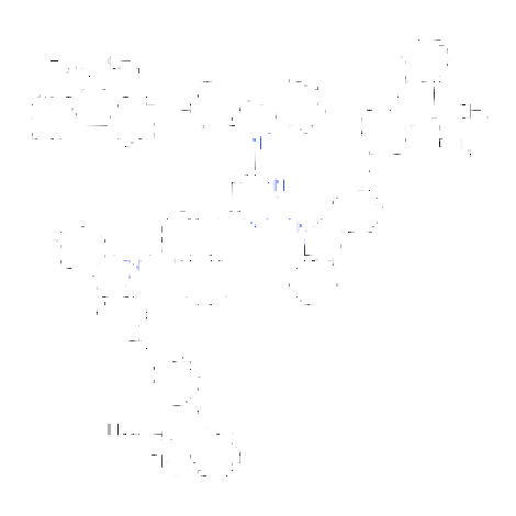 CC1(C)c2ccccc2-c2ccc(-c3ccc4c5ccccc5n(-c5cc(-c6ccc(-n7c8ccccc8c8ccc(-c9ccc%10c(c9)C(C)(C)c9ccccc9-%10)cc87)c7ccccc67)nc(-n6c7ccccc7c7ccc(-c8ccc9c(c8)C(C)(C)c8ccccc8-9)cc76)n5)c4c3)cc21